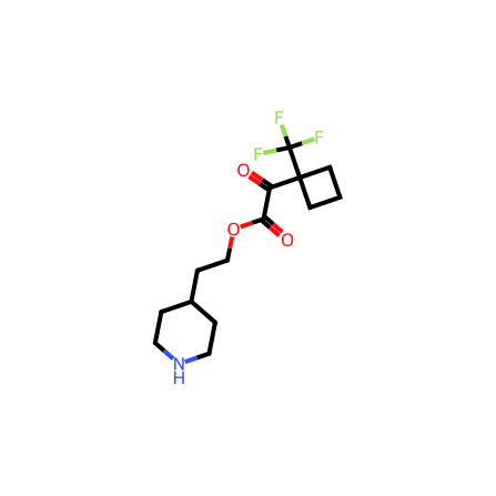 O=C(OCCC1CCNCC1)C(=O)C1(C(F)(F)F)CCC1